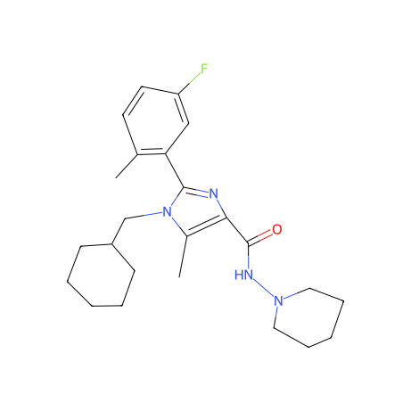 Cc1ccc(F)cc1-c1nc(C(=O)NN2CCCCC2)c(C)n1CC1CCCCC1